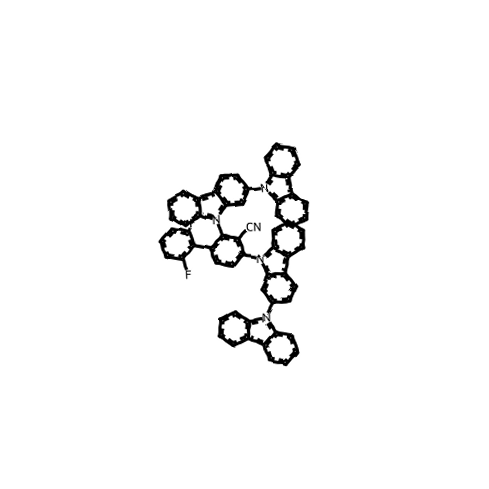 N#Cc1c(-n2c3ccccc3c3ccc(-n4c5ccccc5c5ccccc54)cc32)ccc(-c2c(F)cccc2F)c1-n1c2ccccc2c2ccc(-n3c4ccccc4c4ccccc43)cc21